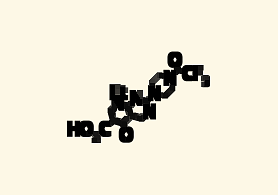 CCn1cc(C(=O)O)c(=O)c2cnc(N3CCN(C(=O)C(F)(F)F)CC3)nc21